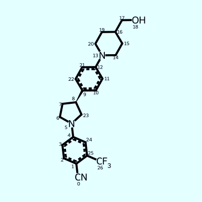 N#Cc1ccc(N2CC[C@@H](c3ccc(N4CCC(CO)CC4)cc3)C2)cc1C(F)(F)F